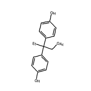 CCC(COC(C)=O)(c1ccc(O)cc1)c1ccc(O)cc1